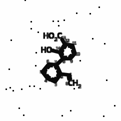 C=Cc1ccccc1-c1cccc(C(=O)O)c1O